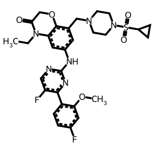 CCN1C(=O)COc2c(CN3CCN(S(=O)(=O)C4CC4)CC3)cc(Nc3ncc(F)c(-c4ccc(F)cc4OC)n3)cc21